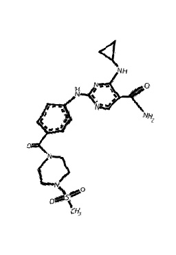 CS(=O)(=O)N1CCN(C(=O)c2ccc(Nc3ncc(C(N)=O)c(NC4CC4)n3)cc2)CC1